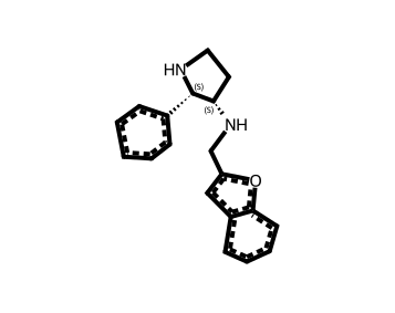 c1ccc([C@@H]2NCC[C@@H]2NCc2cc3ccccc3o2)cc1